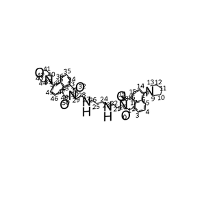 O=C1c2cccc3c(N4CCCCC4)ccc(c23)C(=O)N1CCNCCCNCCN1C(=O)c2cccc3c(N4CCOCC4)ccc(c23)C1=O